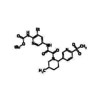 CCc1cc(NC(=O)C(=O)N2CC(C)CCC2c2ccc(S(C)(=O)=O)nc2)cnc1NC(=O)OC(C)(C)C